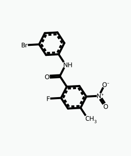 Cc1cc(F)c(C(=O)Nc2cccc(Br)c2)cc1[N+](=O)[O-]